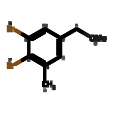 COCc1cc(C)c(Br)c(Br)c1